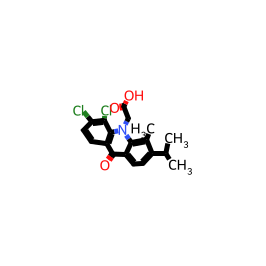 Cc1c(C(C)C)ccc2c(=O)c3ccc(Cl)c(Cl)c3n(CC(=O)O)c12